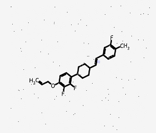 C=CCOc1ccc(C2CCC(/C=C/c3ccc(C)c(F)c3)CC2)c(F)c1F